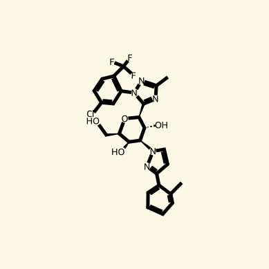 Cc1nc([C@@H]2O[C@H](CO)[C@H](O)[C@H](n3ccc(-c4ccccc4C)n3)[C@H]2O)n(-c2cc(Cl)ccc2C(F)(F)F)n1